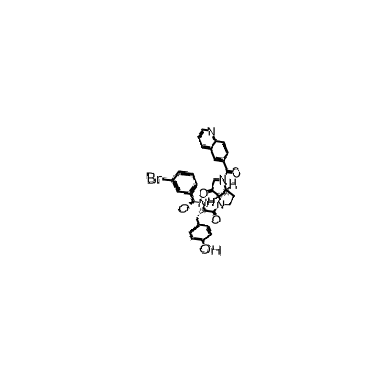 O=C(N[C@@H](Cc1ccc(O)cc1)C(=O)N1CC[C@@H]2[C@H]1C(=O)CN2C(=O)c1ccc2ncccc2c1)c1cccc(Br)c1